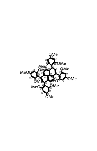 COc1cc(OC)c(C2=CC(c3c(OC)cc(OC)cc3OC)c3ccc4c5c(ccc2c35)C(c2c(OC)cc(OC)cc2OC)C=C4c2c(OC)cc(OC)cc2OC)c(OC)c1